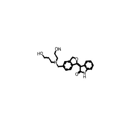 O=C1Nc2ccccc2/C1=C1\OCc2cc(CN(CCO)CCCO)ccc21